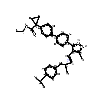 CCOC(=O)C1(c2ccc(-c3ccc(-c4onc(C)c4/C=C/C(C)Cc4ccc(C(C)C)cc4)cc3)cc2)CC1